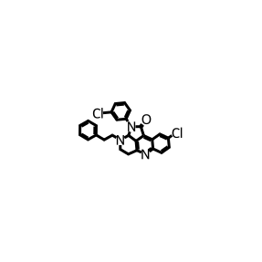 O=C1c2c3c(nc4ccc(Cl)cc24)CCN(CCc2ccccc2)C3N1c1cccc(Cl)c1